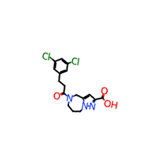 O=C(O)c1cc2n(n1)CCCN(C(=O)CCc1cc(Cl)cc(Cl)c1)C2